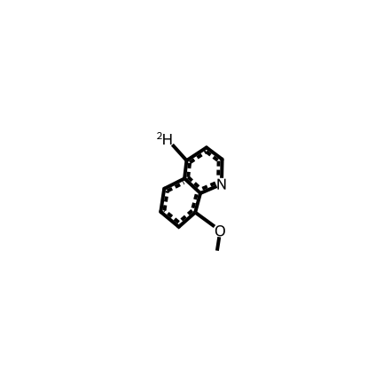 [2H]c1ccnc2c(OC)cccc12